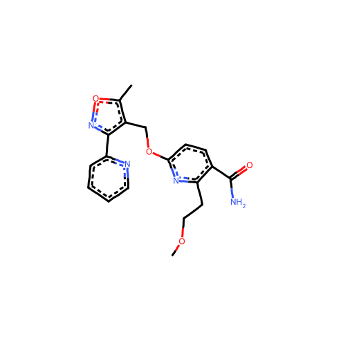 COCCc1nc(OCc2c(-c3ccccn3)noc2C)ccc1C(N)=O